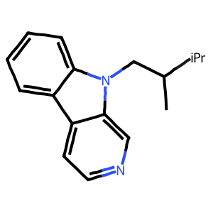 CC(C)C(C)Cn1c2ccccc2c2ccncc21